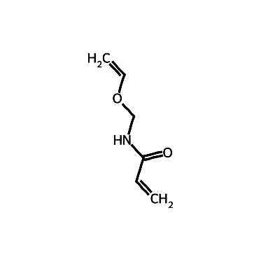 C=COCNC(=O)C=C